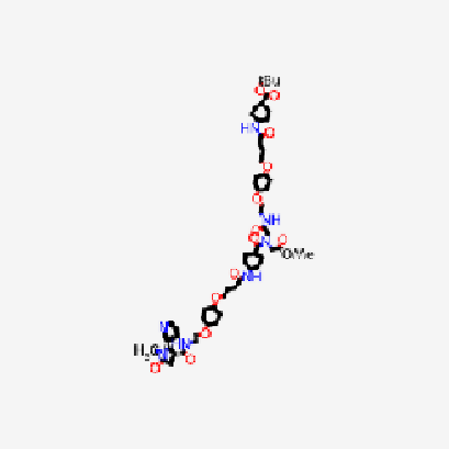 COC(=O)CN(CC(=O)NCCOC1CCC(OCCCC(=O)NC2CCC(C(=O)OC(C)(C)C)CC2)CC1)C(=O)C1CCC(NC(=O)CCCOC2CCC(OCCNC(=O)[C@H]3CC(=O)N(C)[C@@H]3c3cccnc3)CC2)CC1